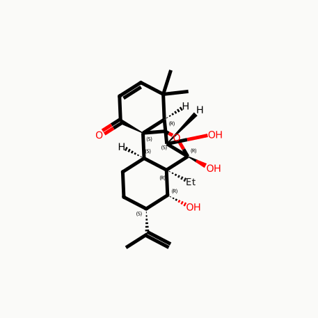 C=C(C)[C@@H]1CC[C@H]2[C@@]34CO[C@@](O)([C@@H](O)[C@@H]3C(C)(C)C=CC4=O)[C@@]2(CC)[C@@H]1O